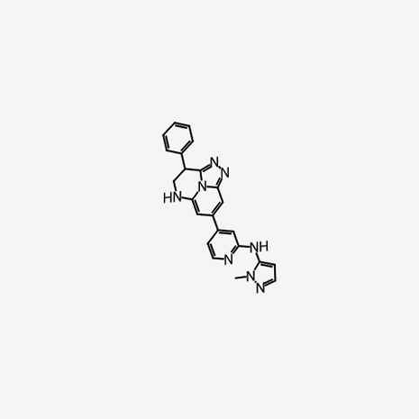 Cn1nccc1Nc1cc(-c2cc3n4c(nnc4c2)C(c2ccccc2)CN3)ccn1